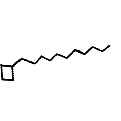 CCCCCCCCCCC[C]1CCC1